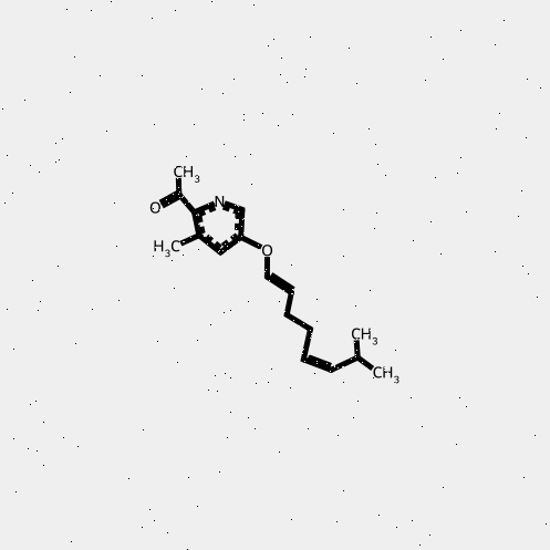 CC(=O)c1ncc(O/C=C/CC/C=C\C(C)C)cc1C